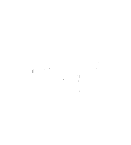 CC(C)CC[N+]1(C)CCCC1